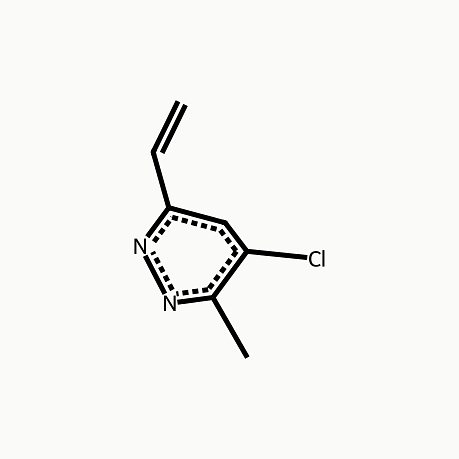 C=Cc1cc(Cl)c(C)nn1